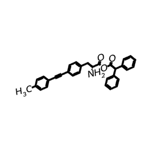 Cc1ccc(C#Cc2ccc(C[C@@H](N)C(=O)OC(=O)C(c3ccccc3)c3ccccc3)cc2)cc1